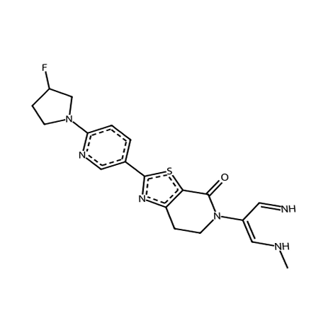 CN/C=C(\C=N)N1CCc2nc(-c3ccc(N4CCC(F)C4)nc3)sc2C1=O